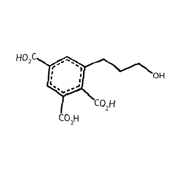 O=C(O)c1cc(CCCO)c(C(=O)O)c(C(=O)O)c1